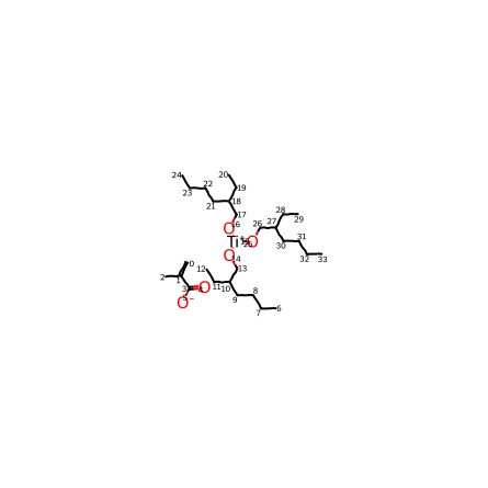 C=C(C)C(=O)[O-].CCCCC(CC)C[O][Ti+]([O]CC(CC)CCCC)[O]CC(CC)CCCC